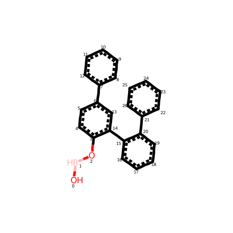 OBOc1ccc(-c2ccccc2)cc1-c1ccccc1-c1ccccc1